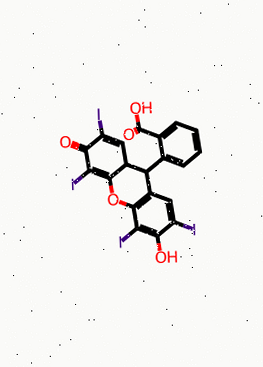 O=C1C(I)=CC2C(=C1I)Oc1c(cc(I)c(O)c1I)C2c1ccccc1C(=O)O